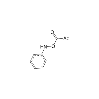 CC(=O)C(=O)ONc1ccccc1